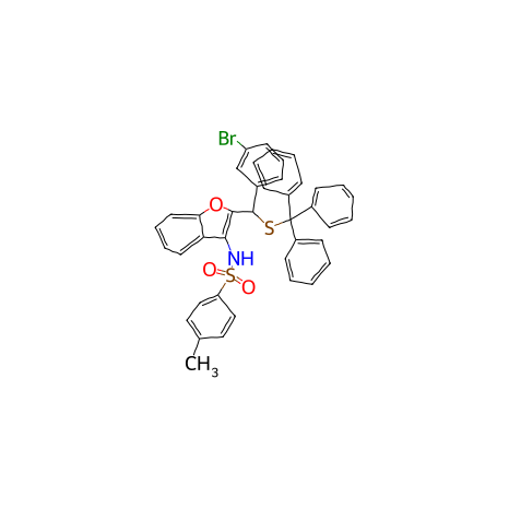 Cc1ccc(S(=O)(=O)Nc2c(C(SC(c3ccccc3)(c3ccccc3)c3ccccc3)c3cccc(Br)c3)oc3ccccc23)cc1